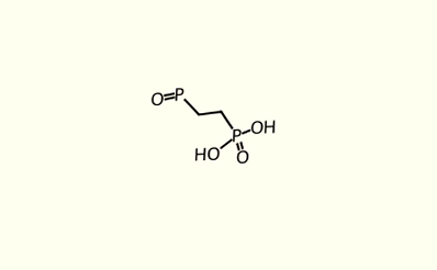 O=PCCP(=O)(O)O